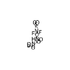 O=C(NCC1CN(c2cc(F)c(N3CCC4(CC3)CS(=O)(=O)C4)c(F)c2)C(=O)O1)c1ccco1